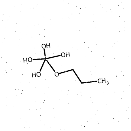 CCCOI(O)(O)(O)O